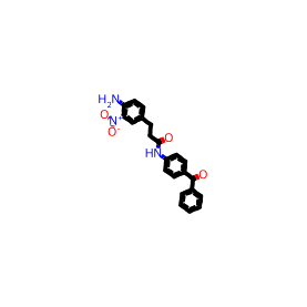 Nc1ccc(CCC(=O)Nc2ccc(C(=O)c3ccccc3)cc2)cc1[N+](=O)[O-]